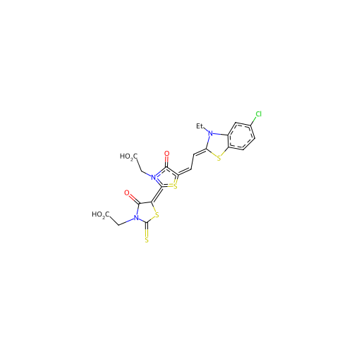 CCN1/C(=C/C=c2/s/c(=C3\SC(=S)N(CC(=O)O)C3=O)n(CC(=O)O)c2=O)Sc2ccc(Cl)cc21